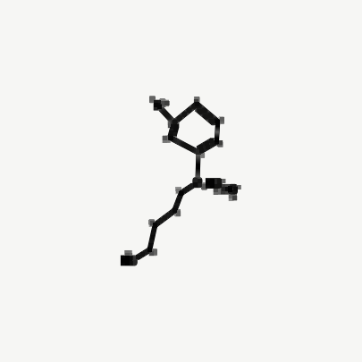 [B+2]c1cccc(OCCCCO)c1.[OH-].[OH-]